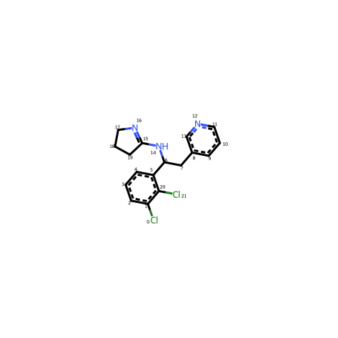 Clc1cccc(C(Cc2cccnc2)NC2=NCCC2)c1Cl